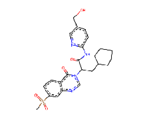 CS(=O)(=O)c1ccc2c(=O)n(C(CC3CCCCC3)C(=O)Nc3ccc(CO)cn3)cnc2c1